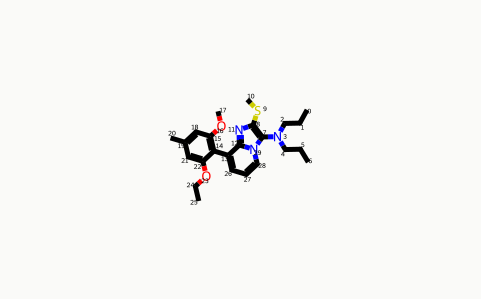 CCCN(CCC)c1c(SC)nc2c(-c3c(OC)cc(C)cc3OCC)cccn12